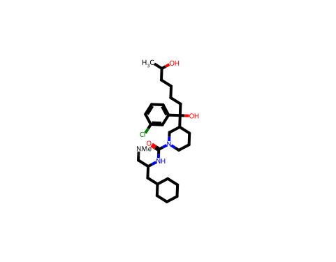 CNCC(CC1CCCCC1)NC(=O)N1CCCC(C(O)(CCCCC(C)O)c2cccc(Cl)c2)C1